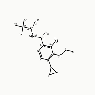 CCOc1c(C2CC2)ccc([C@@H](C)N[S@@+]([O-])C(C)(C)C)c1Cl